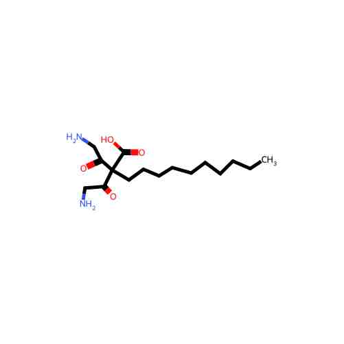 CCCCCCCCCCC(C(=O)O)(C(=O)CN)C(=O)CN